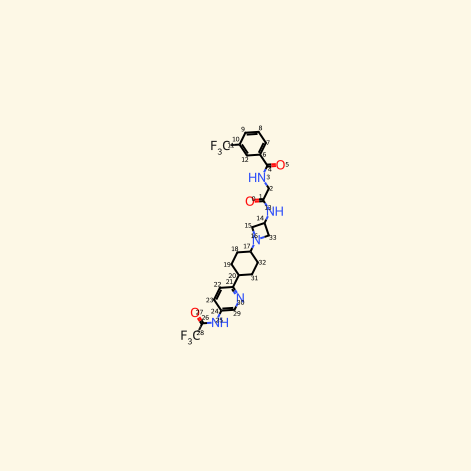 O=C(CNC(=O)c1cccc(C(F)(F)F)c1)NC1CN(C2CCC(c3ccc(NC(=O)C(F)(F)F)cn3)CC2)C1